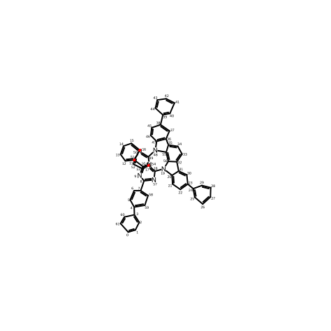 c1ccc(-c2ccc(-c3nc(-c4ccccc4)nc(-n4c5ccc(-c6ccccc6)cc5c5ccc6c7cc(-c8ccccc8)ccc7n(-c7ncccn7)c6c54)n3)cc2)cc1